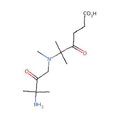 CN(CC(=O)C(C)(C)N)C(C)(C)C(=O)CCC(=O)O